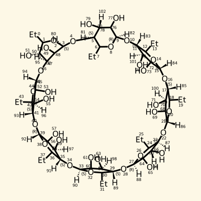 CCC1O[C@H]2O[C@@H]3C(CC)O[C@H](O[C@@H]4C(CC)O[C@H](O[C@@H]5C(CC)O[C@H](O[C@@H]6C(CC)O[C@H](O[C@@H]7C(CC)O[C@@H](O[C@@H]8C(CC)O[C@H](O[C@@H]9C(CC)O[C@H](O[C@H](C2O)[C@@H]1O)C(O)[C@H]9O)C(O)[C@H]8O)C(O)[C@H]7O)C(O)[C@H]6O)C(O)[C@H]5O)C(O)[C@H]4O)C(O)[C@H]3O